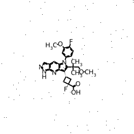 COCC(C)(C)c1c([C@H]2C[C@](F)(C(=O)O)C2)c2nc3[nH]ncc3cc2n1-c1ccc(F)c(OC)c1